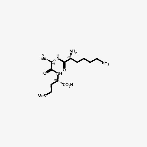 CC[C@H](C)[C@H](NC(=O)[C@@H](N)CCCCN)C(=O)N[C@@H](CCSC)C(=O)O